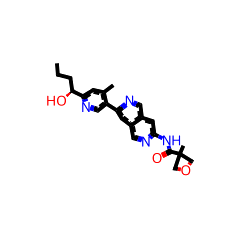 CCC[C@H](O)c1cc(C)c(-c2cc3cnc(NC(=O)C4(C)COC4)cc3cn2)cn1